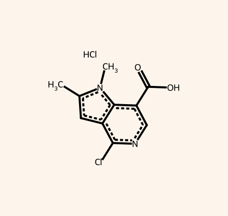 Cc1cc2c(Cl)ncc(C(=O)O)c2n1C.Cl